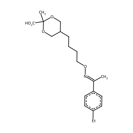 CCc1ccc(C(C)=NOCCCCC2COC(C)(C(=O)O)OC2)cc1